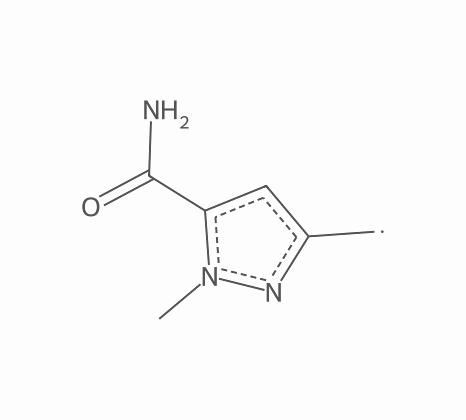 [CH2]c1cc(C(N)=O)n(C)n1